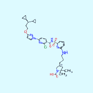 CC1(C)C[C@H](CCCNc2cccc(S(=O)(=O)NC(=O)c3ccc(-n4ccc(OCCC(C5CC5)C5CC5)n4)nc3Cl)n2)CN1C(=O)O